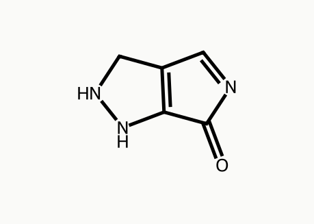 O=C1N=CC2=C1NNC2